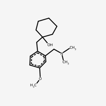 COc1ccc(CC2(O)CCCCC2)c(CN(C)C)c1